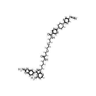 [N-]=[N+]=Nc1cnc(N2CCN(c3ncc(C(=O)NCCOCCOCCC(=O)NCCCCn4nc(-c5ccc6oc(N)nc6c5)c5c(N)ncnc54)cn3)CC2)nc1